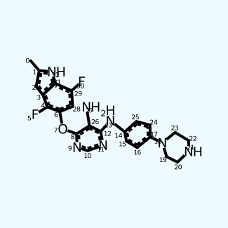 Cc1cc2c(F)c(Oc3ncnc(Nc4ccc(N5CCNCC5)cc4)c3N)cc(F)c2[nH]1